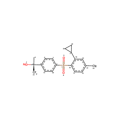 C[C@@](O)(c1ccc(S(=O)(=O)c2ccc(C#N)cc2C2CC2)cc1)C(F)(F)F